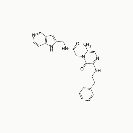 Cc1cnc(NCCc2ccccc2)c(=O)n1CC(=O)NCc1cc2cnccc2[nH]1